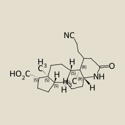 C[C@]12CC[C@H]3[C@@H](CC[C@H]4NC(=O)CC(CCC#N)[C@@]43C)[C@@H]1CC[C@@H]2C(=O)O